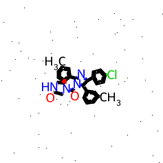 Cc1cccc(C2=NC(c3ccc(Cl)cc3)C(c3cccc(C)c3)N2C(=O)N2CCNC(=O)C2)c1